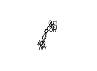 CCCC(=O)N(C)[C@@H](C)C(=O)N1CCN(c2ccc(CN3C(=O)C(Cl)=C(Cl)C3O)cc2)CC1